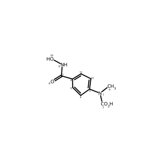 CN(C(=O)O)c1ccc(C(=O)NO)cc1